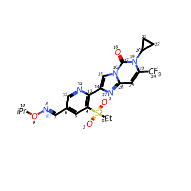 CCS(=O)(=O)c1cc(/C=N/OC(C)C)cnc1-c1cn2c(=O)n(C3CC3)c(C(F)(F)F)cc2n1